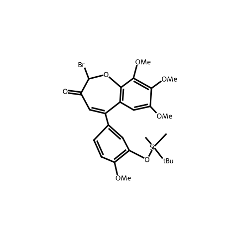 COc1ccc(C2=CC(=O)C(Br)Oc3c2cc(OC)c(OC)c3OC)cc1O[Si](C)(C)C(C)(C)C